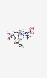 CN(CC1(NC(=O)O)CC1)c1ccc([N+](=O)[O-])cc1C[S+](C)[O-]